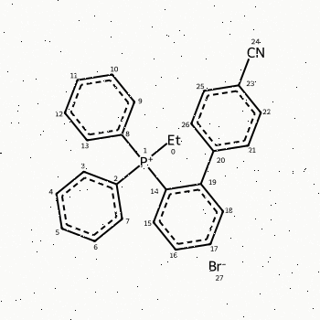 CC[P+](c1ccccc1)(c1ccccc1)c1ccccc1-c1ccc(C#N)cc1.[Br-]